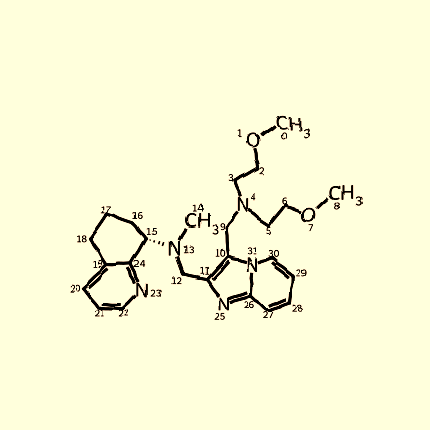 COCCN(CCOC)Cc1c(CN(C)[C@H]2CCCc3cccnc32)nc2ccccn12